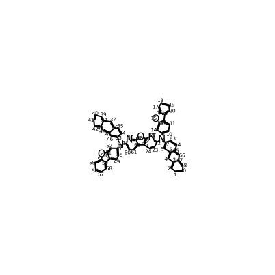 c1ccc2cc3cc(N(c4ccc5c(c4)oc4ccccc45)c4ccc5c(n4)oc4nc(N(c6ccc7cc8ccccc8cc7c6)c6ccc7c(c6)oc6ccccc67)ccc45)ccc3cc2c1